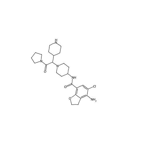 Nc1c(Cl)cc(C(=O)NC2CCN(C(C(=O)N3CCCC3)C3CCNCC3)CC2)c2c1CCO2